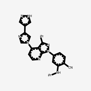 CC(C)Nc1cc(-n2nc(C(C)C)c3c(-n4cnc(-c5cn[nH]c5)c4)ccnc32)ccc1C#N